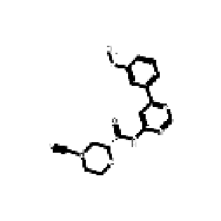 COc1cccc(-c2cc(NC(=O)[C@H]3CN(C#N)CCO3)ncn2)c1